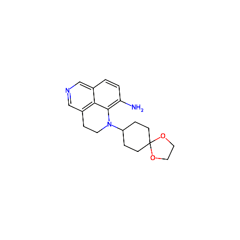 Nc1ccc2cncc3c2c1N(C1CCC2(CC1)OCCO2)CC3